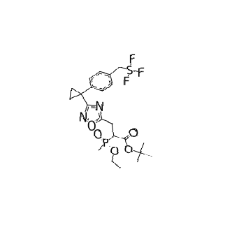 CCOP(C)(=O)C(Cc1nc(C2(c3ccc(CS(F)(F)F)cc3)CC2)no1)C(=O)OC(C)(C)C